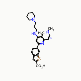 C=N/C=C\c1nc(-c2ccc3cc(C(=O)O)sc3c2)cc(NCCCN2CCCCC2)c1C